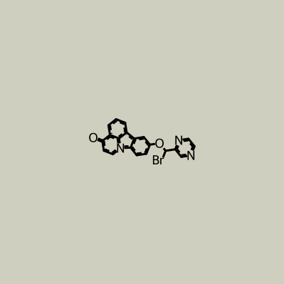 O=c1ccn2c3ccc(OC(Br)c4cnccn4)cc3c3cccc1c32